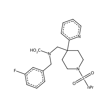 CCCS(=O)(=O)N1CCC(CN(Cc2cccc(F)c2)C(=O)O)(c2ccccn2)CC1